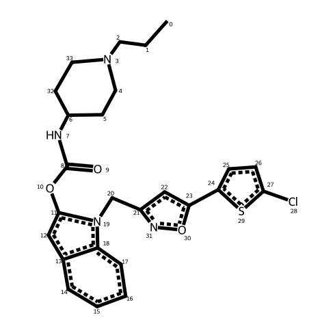 CCCN1CCC(NC(=O)Oc2cc3ccccc3n2Cc2cc(-c3ccc(Cl)s3)on2)CC1